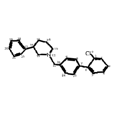 Clc1ccccc1-c1ccc(CN2CCCC(c3ccccc3)C2)cc1